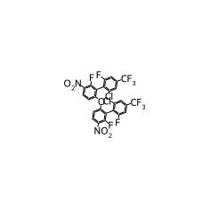 O=[N+]([O-])c1ccc(Oc2ccc([N+](=O)[O-])c(F)c2-c2c(F)cc(C(F)(F)F)cc2Cl)c(-c2c(F)cc(C(F)(F)F)cc2Cl)c1F